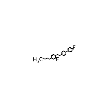 CCCCCc1ccc(CCc2ccc(-c3ccc(F)cc3)cc2)c(F)c1